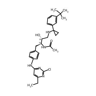 CCc1cc(Nc2ccc(C[C@H](NC(C)=O)[C@H](O)CNC3(c4cccc(C(C)(C)C)c4)CC3)cc2)nc(Cl)n1